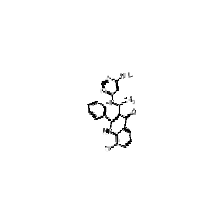 CC(Nc1cc(N)ncn1)c1c(-c2ccccc2)[nH]c2c(Cl)cccc2c1=O